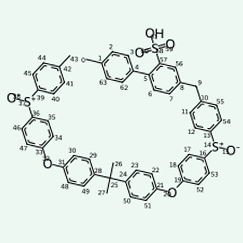 Cc1ccc(-c2ccc(Cc3ccc([S+]([O-])c4ccc(Oc5ccc(C(C)(C)c6ccc(Oc7ccc([S+]([O-])c8ccc(C)cc8)cc7)cc6)cc5)cc4)cc3)cc2S(=O)(=O)O)cc1